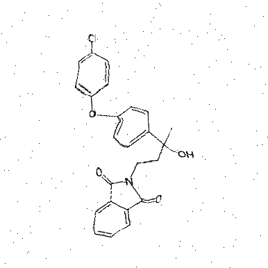 CC(O)(CCN1C(=O)c2ccccc2C1=O)c1ccc(Oc2ccc(Cl)cc2)cc1